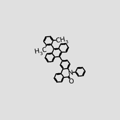 Cc1cccc(C)c1-c1c2ccccc2c(-c2ccc3c(c2)c2ccccc2c(=O)n3-c2ccccc2)c2ccccc12